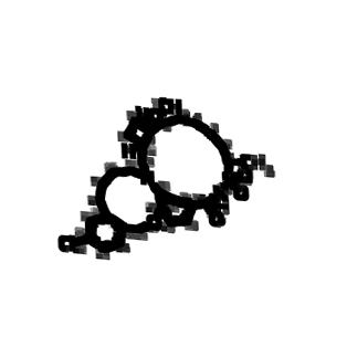 C[C@@H]1CCCC[C@](C)(O)[C@@H]2CC[C@H]2CN2CCCCc3cc(Cl)ccc3COc3ccc(cc32)C(=O)NS1(=O)=O